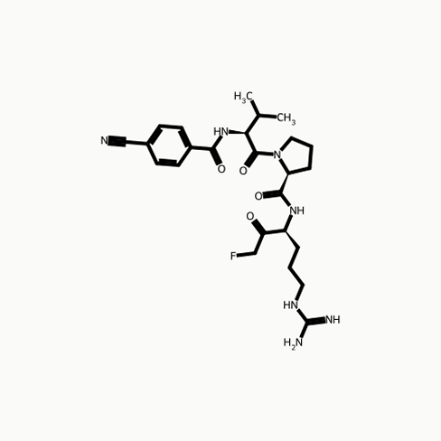 CC(C)[C@H](NC(=O)c1ccc(C#N)cc1)C(=O)N1CCC[C@H]1C(=O)N[C@@H](CCCNC(=N)N)C(=O)CF